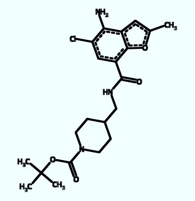 Cc1cc2c(N)c(Cl)cc(C(=O)NCC3CCN(C(=O)OC(C)(C)C)CC3)c2o1